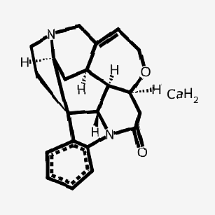 O=C1C[C@@H]2OCC=C3CN4CC[C@]56c7ccccc7N1[C@H]5[C@H]2[C@H]3C[C@H]46.[CaH2]